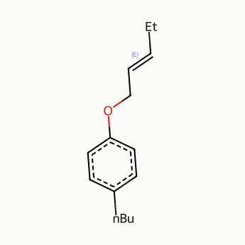 [CH2]CCCc1ccc(OC/C=C/CC)cc1